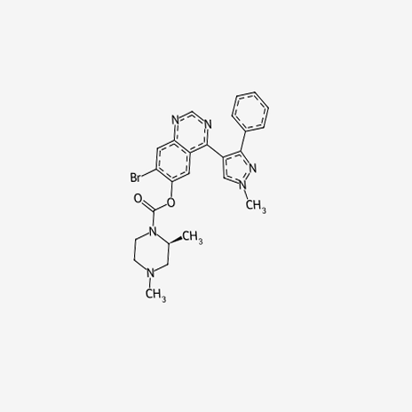 C[C@H]1CN(C)CCN1C(=O)Oc1cc2c(-c3cn(C)nc3-c3ccccc3)ncnc2cc1Br